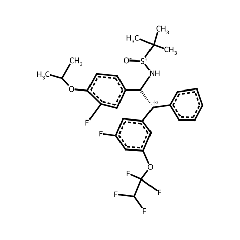 CC(C)Oc1ccc(C(N[S+]([O-])C(C)(C)C)[C@H](c2ccccc2)c2cc(F)cc(OC(F)(F)C(F)F)c2)cc1F